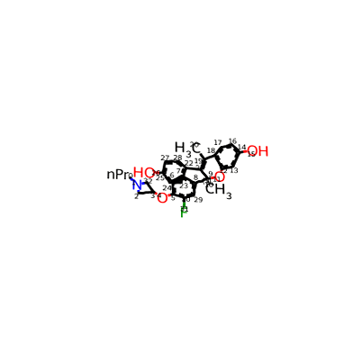 CCCN1CC(Oc2ccc([C@]3(C)Oc4cc(O)ccc4C(C)=C3c3ccc(O)cc3)cc2F)C1